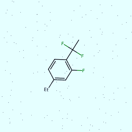 CCc1ccc(C(C)(F)F)c(F)c1